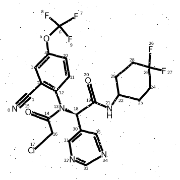 N#Cc1cc(OC(F)(F)F)ccc1N(C(=O)CCl)[C@@H](C(=O)NC1CCC(F)(F)CC1)c1cncnc1